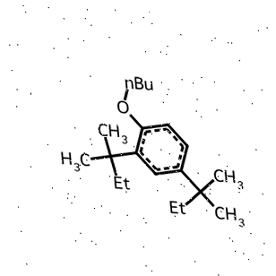 [CH2]CCCOc1ccc(C(C)(C)CC)cc1C(C)(C)CC